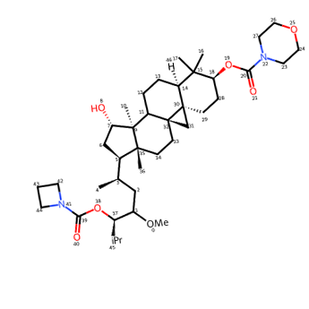 COC(C[C@@H](C)[C@H]1C[C@H](O)[C@@]2(C)C3CC[C@H]4C(C)(C)[C@@H](OC(=O)N5CCOCC5)CC[C@@]45C[C@@]35CC[C@]12C)[C@H](OC(=O)N1CCC1)C(C)C